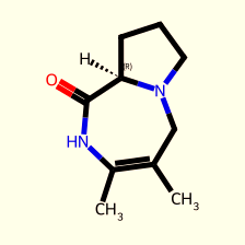 CC1=C(C)NC(=O)[C@H]2CCCN2C1